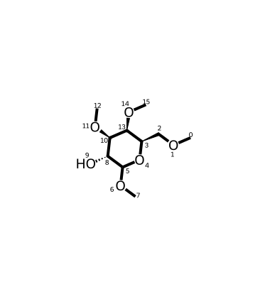 COC[C@H]1OC(OC)[C@H](O)[C@@H](OC)[C@H]1OC